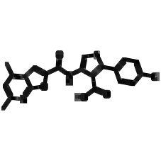 Cc1cc(C)c2cc(C(=O)Nc3csc(-c4ccc(Cl)cc4)c3C(=O)O)oc2n1